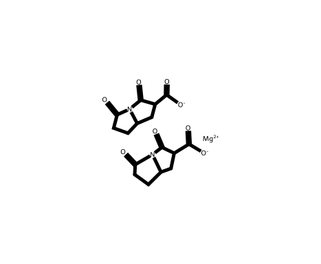 O=C([O-])C1CC2CCC(=O)N2C1=O.O=C([O-])C1CC2CCC(=O)N2C1=O.[Mg+2]